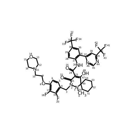 CN1N(Cc2ccc(OCCN3CCOCC3)c(F)c2F)C(=O)C(C(=O)Nc2ccc(C(F)(F)F)cc2-c2cc(C(F)(F)F)ncn2)=C(O)C12CCCCC2